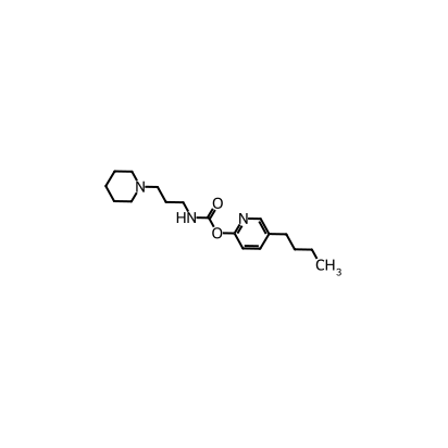 CCCCc1ccc(OC(=O)NCCCN2CCCCC2)nc1